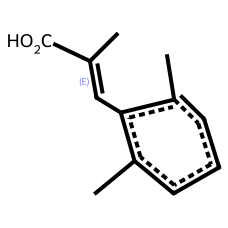 C/C(=C\c1c(C)cccc1C)C(=O)O